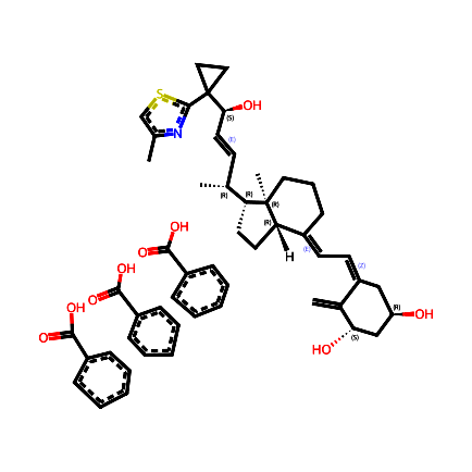 C=C1/C(=C\C=C2/CCC[C@]3(C)[C@@H]([C@H](C)/C=C/[C@H](O)C4(c5nc(C)cs5)CC4)CC[C@@H]23)C[C@@H](O)C[C@@H]1O.O=C(O)c1ccccc1.O=C(O)c1ccccc1.O=C(O)c1ccccc1